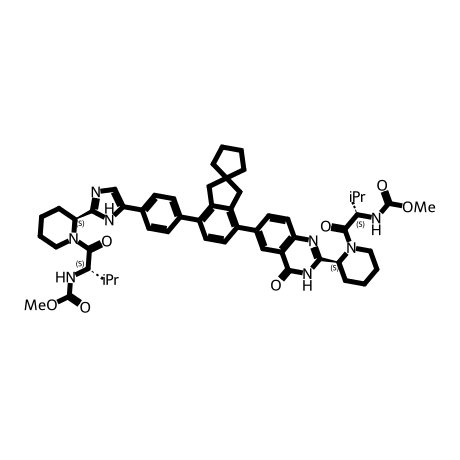 COC(=O)N[C@H](C(=O)N1CCCC[C@H]1c1ncc(-c2ccc(-c3ccc(-c4ccc5nc([C@@H]6CCCCN6C(=O)[C@@H](NC(=O)OC)C(C)C)[nH]c(=O)c5c4)c4c3CC3(CCCC3)C4)cc2)[nH]1)C(C)C